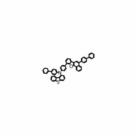 C1=CCCC(c2ccc(N(c3ccc(-c4cccc5c4oc4c6ccccc6c(-c6ccc(-c7ccccc7)cc6)cc54)cc3)c3cccc4sc5ccccc5c34)cc2)=C1